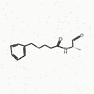 C[C@@H]([C]=O)NC(=O)CCCCc1ccccc1